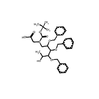 CC(O)C(OCc1ccccc1)C(OCc1ccccc1)C(CN(CC(=O)O)C(=O)OC(C)(C)C)OCc1ccccc1